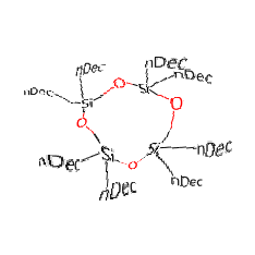 CCCCCCCCCC[Si]1(CCCCCCCCCC)O[Si](CCCCCCCCCC)(CCCCCCCCCC)O[Si](CCCCCCCCCC)(CCCCCCCCCC)O[Si](CCCCCCCCCC)(CCCCCCCCCC)O1